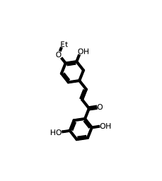 CCOC1=C(O)CC(C=CC(=O)c2cc(O)ccc2O)C=C1